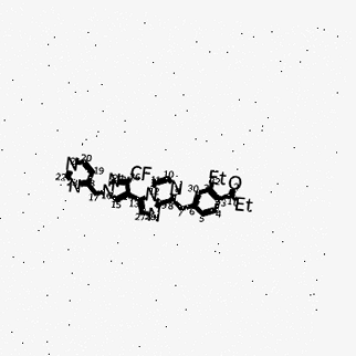 CCC(=O)c1ccc(Cc2nccn3c(-c4cn(Cc5ccncn5)nc4C(F)(F)F)cnc23)cc1CC